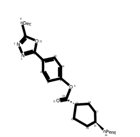 CCCCCCCCCCc1nnc(-c2ccc(OC(=O)[C@H]3CC[C@H](CCCCC)CC3)cc2)o1